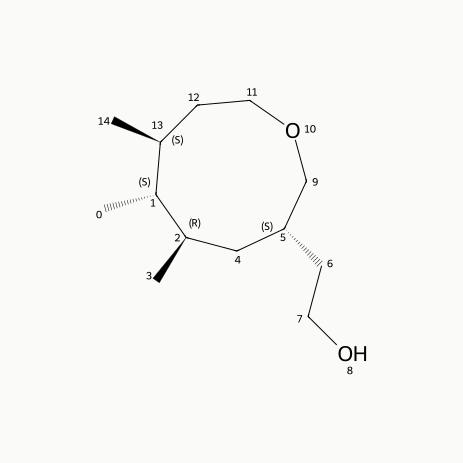 C[C@H]1[C@H](C)C[C@@H](CCO)COCC[C@@H]1C